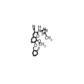 CCc1nnc(NC(=O)C(C#N)=Cc2ccc(OCc3ccccc3F)c(OC)c2)s1